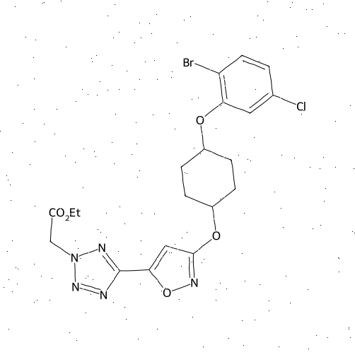 CCOC(=O)Cn1nnc(-c2cc(OC3CCC(Oc4cc(Cl)ccc4Br)CC3)no2)n1